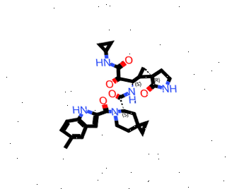 Cc1ccc2[nH]c(C(=O)N3CCC4(CC4)C[C@H]3C(=O)N[C@H](C(=O)C(=O)NC3CC3)C3C[C@@]34CCNC4=O)cc2c1